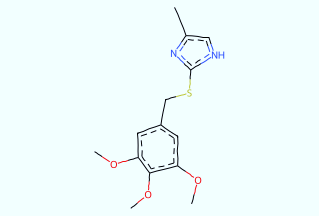 COc1cc(CSc2nc(C)c[nH]2)cc(OC)c1OC